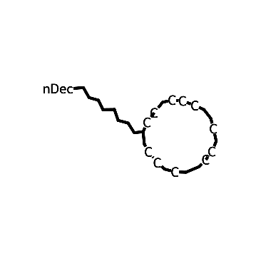 CCCCCCCCCCCCCCCCCCC1CCCCCCCCCCCCCCCCCCC1